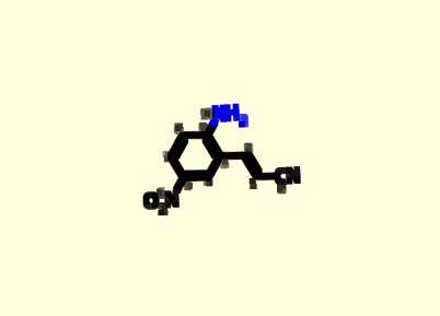 N#CC=Cc1cc([N+](=O)[O-])ccc1N